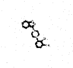 Cc1cccc(N2CCN(c3noc4ccccc34)CC2)c1C